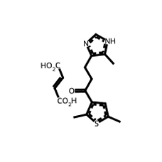 Cc1cc(C(=O)CCc2nc[nH]c2C)c(C)s1.O=C(O)C=CC(=O)O